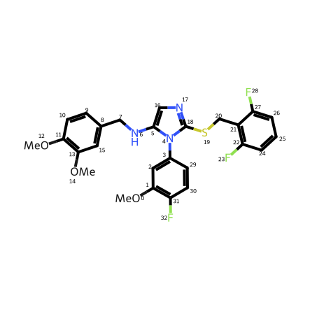 COc1cc(-n2c(NCc3ccc(OC)c(OC)c3)cnc2SCc2c(F)cccc2F)ccc1F